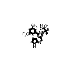 FC(F)(F)c1cc(-c2nnc3cnc4[nH]ccc4n23)cc(C(F)(F)F)c1.O=C(O)C(F)(F)F